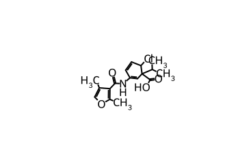 Cc1coc(C)c1C(=O)NC1=CC(C(=O)O)(C(C)C)C(Cl)C=C1